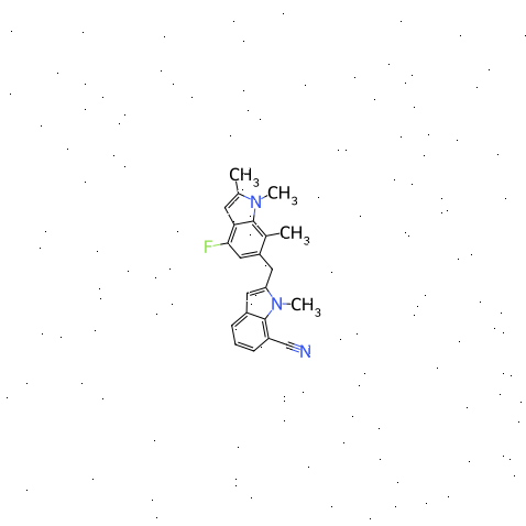 Cc1c(Cc2cc3cccc(C#N)c3n2C)cc(F)c2cc(C)n(C)c12